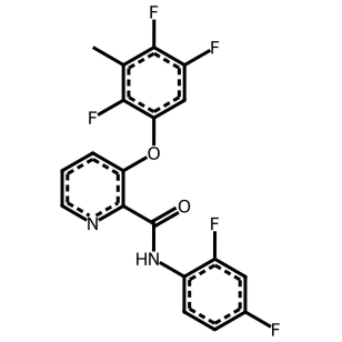 Cc1c(F)c(F)cc(Oc2cccnc2C(=O)Nc2ccc(F)cc2F)c1F